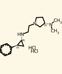 CN(C)[C@H]1CCN(CCN[C@@H]2C[C@H]2c2ccccc2)C1.Cl.Cl